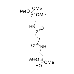 CO[Si](O)(CCNC(=O)CCC(=O)NCC[Si](OC)(OC)OC)OC